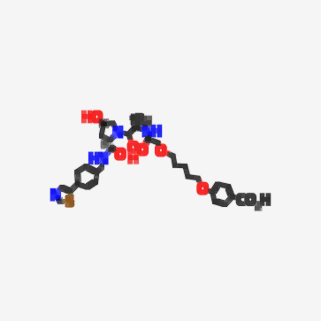 CC(C)(C)[C@H](NC(=O)COCCCCCOc1ccc(C(=O)O)cc1)C(O)N1C[C@H](O)C[C@H]1C(=O)NCc1ccc(-c2cncs2)cc1